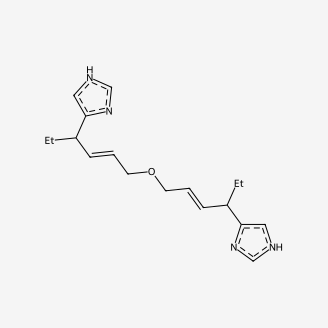 CCC(/C=C/COC/C=C/C(CC)c1c[nH]cn1)c1c[nH]cn1